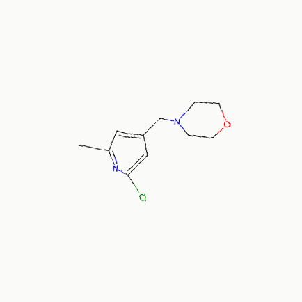 Cc1cc(CN2CCOCC2)cc(Cl)n1